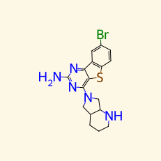 Nc1nc(N2CC3CCCNC3C2)c2sc3ccc(Br)cc3c2n1